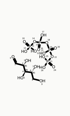 O=C[C@H](O)[C@H](O)[C@H](O)CO.O=P(O)(O)OP(=O)(O)OP(=O)(O)OP(=O)(O)O